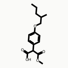 CCCC(C)COc1ccc(C(C(=O)O)C(=O)OC)cc1